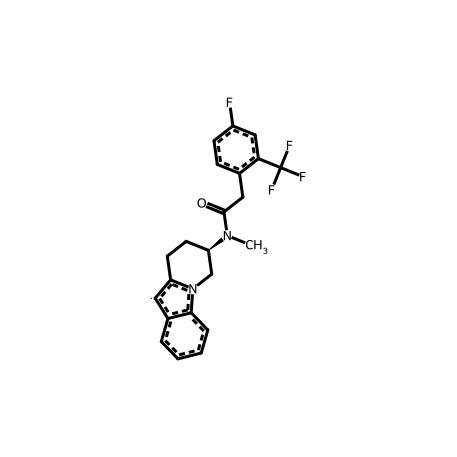 CN(C(=O)Cc1ccc(F)cc1C(F)(F)F)[C@@H]1CCc2[c]c3ccccc3n2C1